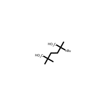 CCCCC(C)(CCC(C)(C)C(=O)O)C(=O)O